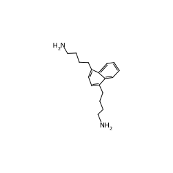 NCCCCc1ccc(CCCCN)c2ccccc12